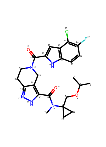 CC(C)OCC1(N(C)C(=O)c2[nH]nc3c2CN(C(=O)c2cc4c(Cl)c(F)ccc4[nH]2)CC3)CC1